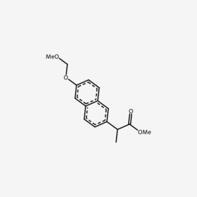 COCOc1ccc2cc(C(C)C(=O)OC)ccc2c1